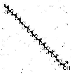 C=CC(=O)OCCOCCOCCOCCOCCOCCOCCOCCOCC(=O)O